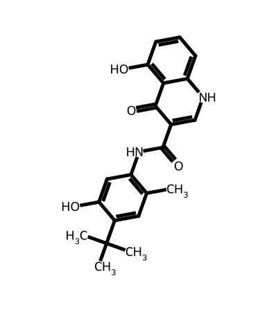 Cc1cc(C(C)(C)C)c(O)cc1NC(=O)c1c[nH]c2cccc(O)c2c1=O